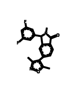 Cc1noc(C)c1-c1ccc2c(c1)C(c1cc(F)cc(F)c1)N(C)C2=O